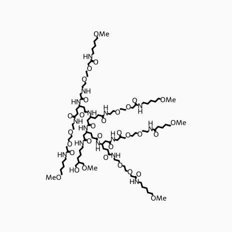 COCCCCCNC(=O)COCCOCCNCC(=O)NC(CCC(=O)NCCOCCOCC(=O)NCCCCCOC)CC(=O)NC(CCC(=O)NCCOCCOCC(=O)NCCCCCOC)CC(=O)NC(CCC(=O)NC(CCC(=O)NCCOCCOCC(=O)NCCCCCOC)CC(=O)NCC(=O)COCCOCCNC(=O)CCCCOC)CC(=O)NCCCCC(CO)COC